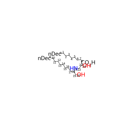 CCCCCCCCCCCCCCCCCC(=O)O.CCCCCCCCCCCCCCCCCCC(CO)NCCO